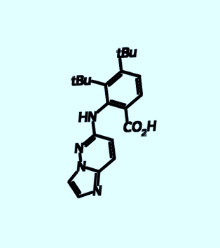 CC(C)(C)c1ccc(C(=O)O)c(Nc2ccc3nccn3n2)c1C(C)(C)C